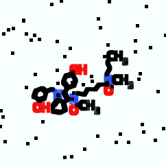 CCCCN(C)C(=O)CCCCCN(C(C)=O)c1c(-c2ccc(O)cc2)n(Cc2cccc(O)c2)c2ccccc12